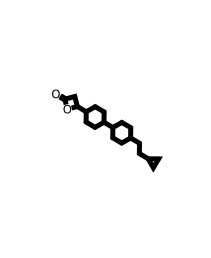 O=C1CC(C2CCC(C3CCC(CCC4CC4)CC3)CC2)O1